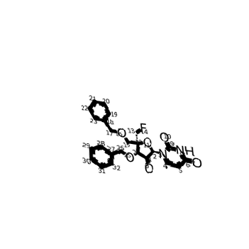 O=C1[C@H](n2ccc(=O)[nH]c2=O)O[C@](CF)(COCc2ccccc2)[C@H]1OCc1ccccc1